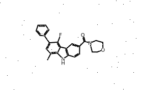 Cc1cc(-c2ccccc2)c(F)c2c1[nH]c1ccc(C(=O)N3CCOCC3)cc12